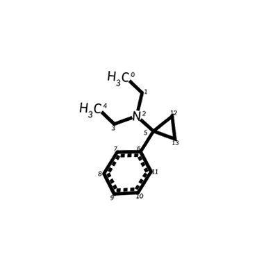 CCN(CC)C1(c2ccccc2)CC1